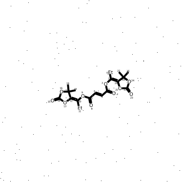 CCC(OC(=O)C=CC(=O)OC(CC)=C1OC(=O)OC1(C)C)=C1OC(=O)OC1(C)C